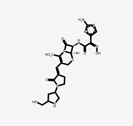 Nc1nc(/C(=N/O)C(=O)N[C@@H]2C(=O)N3C(C(=O)O)=C(/C=C4\CCN(C5CNC(CO)C5)C4=O)CS[C@H]23)cs1